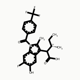 CC[C@H](C)C(C(=O)O)c1c(C)n(C(=O)c2ccc(C(F)(F)F)cc2)c2cc(F)c(O)cc12